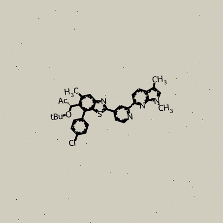 CC(=O)[C@@H](OC(C)(C)C)c1c(C)cc2nc(-c3ccnc(-c4ccc5c(C)cn(C)c5n4)c3)sc2c1-c1ccc(Cl)cc1